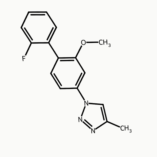 COc1cc(-n2cc(C)nn2)ccc1-c1ccccc1F